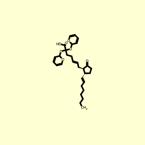 CCCCCC/C=C/[C@H]1CCC(=O)[C@@H]1CC=CCCC(OC1C=CC=CO1)(OC1C=CC=CO1)C(=O)O